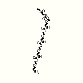 CCOC(=O)CNC(=O)OC(C)OCCNC(=O)OCCOCCNC(=O)OCCOCCNC(=O)OCCOCCN